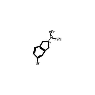 CCCN(CCC)[C@H]1Cc2ccc(Br)cc2C1